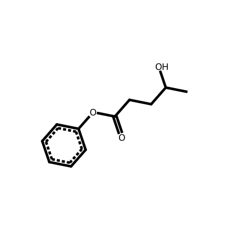 CC(O)CCC(=O)Oc1ccccc1